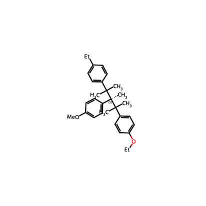 CCOc1ccc(C(C)(C)[C@@](C)(c2ccc(OC)cc2)C(C)(C)c2ccc(CC)cc2)cc1